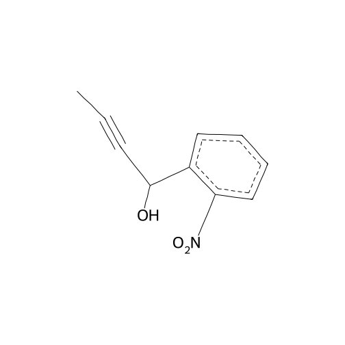 CC#CC(O)c1ccccc1[N+](=O)[O-]